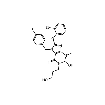 CCc1ccccc1Oc1nc2c(n1Cc1ccc(F)cc1)C(=O)N(CCCO)C(O)N2C